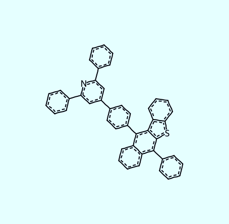 c1ccc(-c2cc(-c3ccc(-c4c5ccccc5c(-c5ccccc5)c5sc6ccccc6c45)cc3)cc(-c3ccccc3)n2)cc1